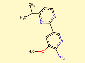 COc1cc(-c2nccc(C(C)C)n2)cnc1N